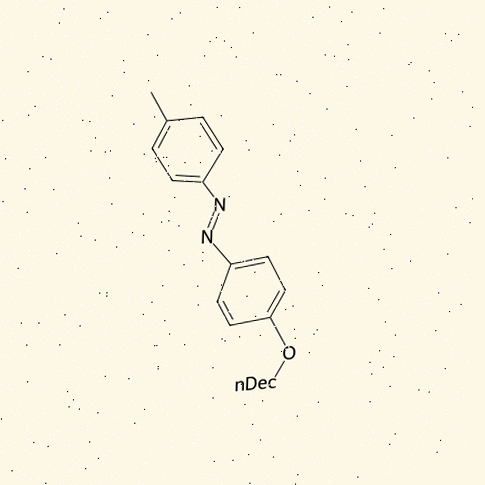 CCCCCCCCCCOc1ccc(N=Nc2ccc(C)cc2)cc1